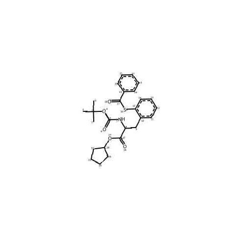 CC(C)(C)OC(=O)NC(Cc1ccccc1SC(=O)c1ccccc1)C(=O)OC1CCCC1